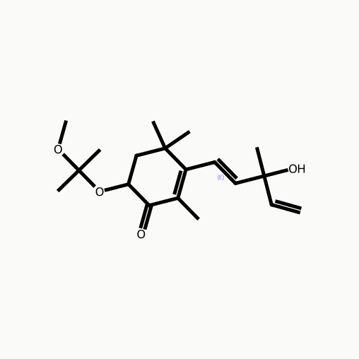 C=CC(C)(O)/C=C/C1=C(C)C(=O)C(OC(C)(C)OC)CC1(C)C